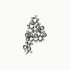 CC(C)(C)OC(=O)N1CC[C@H]([C@H](Cc2ccc3c(c2)C(NC(=O)OCc2ccccc2)CO3)C(=O)N2C(=O)OC[C@@H]2Cc2ccccc2)C1